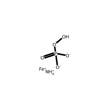 O=P([O-])([O-])OO.[Fe+].[NH4+]